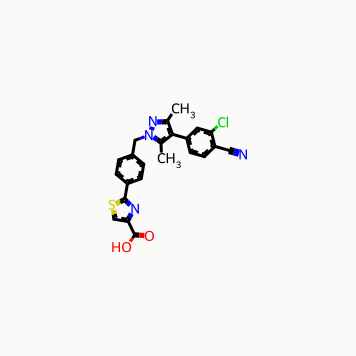 Cc1nn(Cc2ccc(-c3nc(C(=O)O)cs3)cc2)c(C)c1-c1ccc(C#N)c(Cl)c1